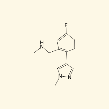 CNCc1cc(F)ccc1-c1cnn(C)c1